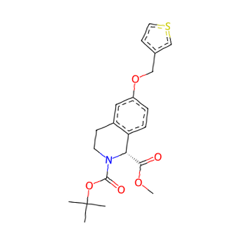 COC(=O)[C@H]1c2ccc(OCc3ccsc3)cc2CCN1C(=O)OC(C)(C)C